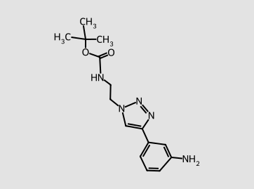 CC(C)(C)OC(=O)NCCn1cc(-c2cccc(N)c2)nn1